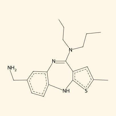 CCCN(CCC)C1=Nc2cc(CN)ccc2Nc2sc(C)cc21